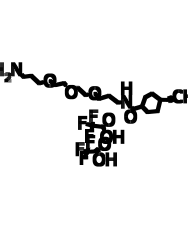 C#CC1CCC(C(=O)NCCCOCCOCCOCCCN)CC1.O=C(O)C(F)(F)F.O=C(O)C(F)(F)F